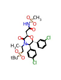 C[C@@H](CS(=O)(=O)C(C)(C)C)N1C(=O)[C@@H](CC(=O)NS(C)(=O)=O)O[C@H](c2cccc(Cl)c2)[C@H]1c1ccc(Cl)cc1